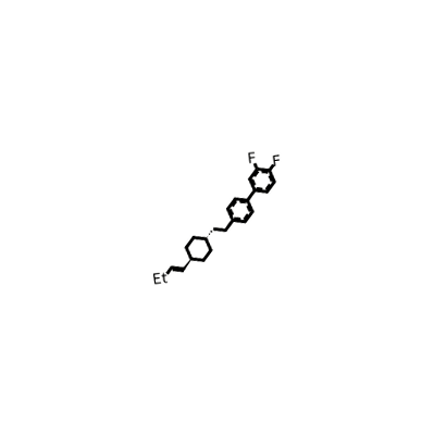 CCC=C[C@H]1CC[C@H](CCc2ccc(-c3ccc(F)c(F)c3)cc2)CC1